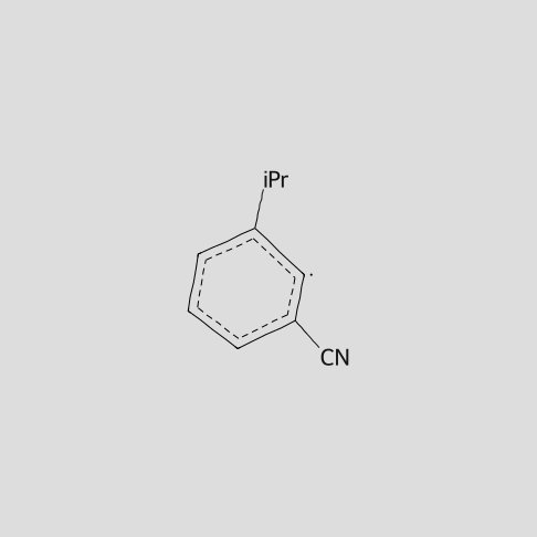 CC(C)c1[c]c(C#N)ccc1